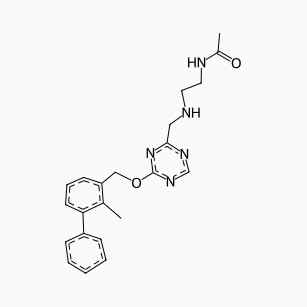 CC(=O)NCCNCc1ncnc(OCc2cccc(-c3ccccc3)c2C)n1